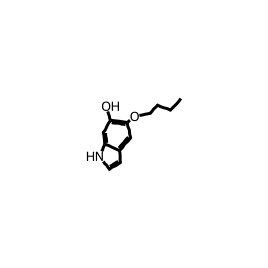 CCCCOc1cc2cc[nH]c2cc1O